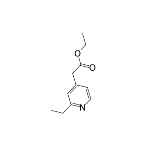 CCOC(=O)Cc1ccnc(CC)c1